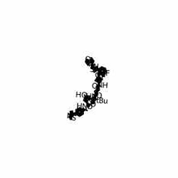 Cc1ncsc1-c1ccc([C@H](C)NC(=O)[C@@H]2C[C@@H](O)CN2C(=O)[C@@H](NC(=O)CCC(=O)N[C@H]2C[C@H](Oc3c(-c4csc(N5CCOCC5)n4)ccc(F)c3F)C2)C(C)(C)C)cc1